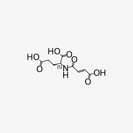 O=C(O)C=CC(=O)N[C@@H](CCC(=O)O)C(=O)O